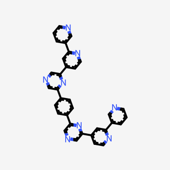 c1cncc(-c2cc(-c3cncc(-c4ccc(-c5cncc(-c6ccnc(-c7cccnc7)c6)n5)cc4)n3)ccn2)c1